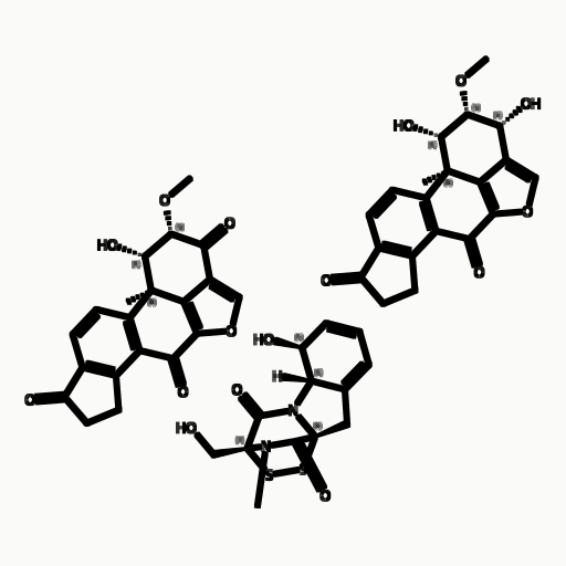 CN1C(=O)[C@]23CC4=CC=C[C@H](O)[C@H]4N2C(=O)[C@@]1(CO)SS3.CO[C@@H]1C(=O)c2coc3c2[C@@](C)(c2ccc4c(c2C3=O)CCC4=O)[C@@H]1O.CO[C@@H]1[C@H](O)c2coc3c2[C@@](C)(c2ccc4c(c2C3=O)CCC4=O)[C@@H]1O